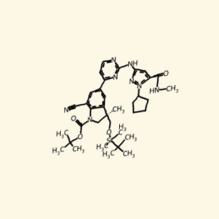 CNC(=O)c1cc(Nc2nccc(-c3cc(C#N)c4c(c3)[C@@](C)(CO[Si](C)(C)C(C)(C)C)CN4C(=O)OC(C)(C)C)n2)nn1C1CCCC1